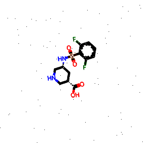 O=C(O)[C@@H]1CNC[C@H](NS(=O)(=O)c2c(F)cccc2F)C1